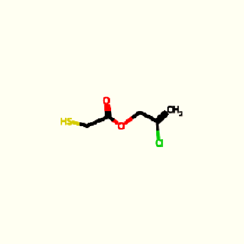 C=C(Cl)COC(=O)CS